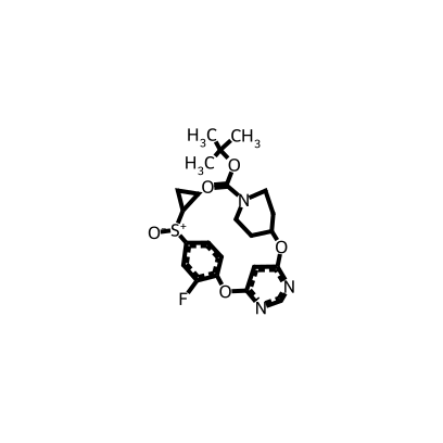 CC(C)(C)OC(=O)N1CCC(Oc2cc(Oc3ccc([S+]([O-])C4CC4)cc3F)ncn2)CC1